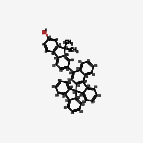 CC1(C)c2cc(Br)ccc2-c2ccc(-c3cc4c(c5ccccc35)-c3ccccc3C43c4ccccc4-c4ccccc43)cc21